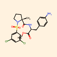 COC(=O)[C@H](Cc1ccc(N)cc1)NC(=O)[C@@]1(C)CCCN1S(=O)(=O)c1cc(Cl)cc(Cl)c1